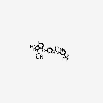 O=C(Nc1cc(C(F)(F)F)ccn1)c1ccc(Oc2ccnc3[nH]nc(C4CCCNC4)c23)cc1